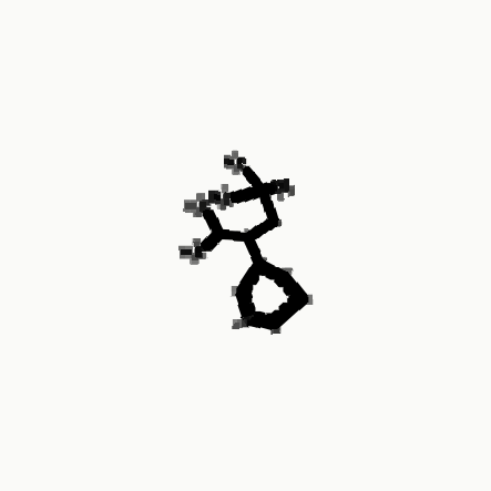 CC(C)C(CC(C)(C)C)c1cccnc1